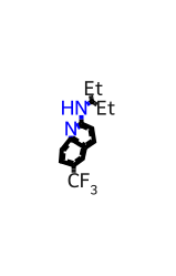 CCC(CC)Nc1ccc2cc(C(F)(F)F)ccc2n1